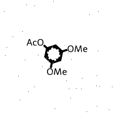 [CH2]C(=O)Oc1cc(OC)cc(OC)c1